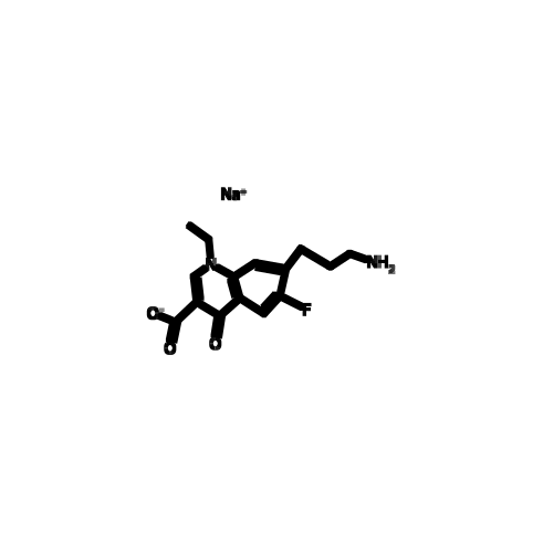 CCn1cc(C(=O)[O-])c(=O)c2cc(F)c(CCCN)cc21.[Na+]